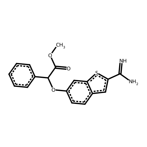 COC(=O)C(Oc1ccc2cc(C(=N)N)sc2c1)c1ccccc1